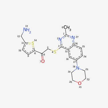 Cc1nc(SCC(=O)c2ccc(CN)s2)c2cc(N3CCOCC3)ccc2n1